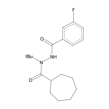 CC(C)(C)N(NC(=O)c1cccc(F)c1)C(=O)C1CCCCCC1